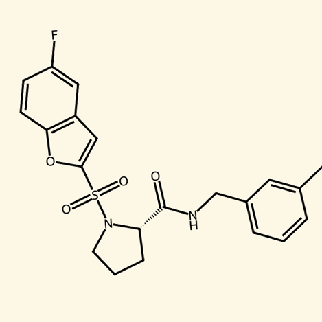 Cc1cccc(CNC(=O)[C@@H]2CCCN2S(=O)(=O)c2cc3cc(F)ccc3o2)c1